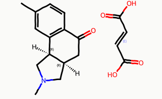 Cc1ccc2c(c1)[C@@H]1CN(C)C[C@@H]1CC2=O.O=C(O)/C=C/C(=O)O